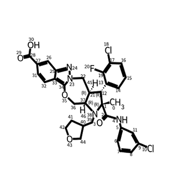 C[C@]1(C(=O)Nc2cccc(Cl)c2)[C@@H](c2cccc(Cl)c2F)[C@@H]2Cn3nc4cc(C(=O)O)ccc4c3OC[C@@H]2N1CC1CCOC1